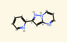 c1ccc(-c2cc3ncccn3n2)nc1